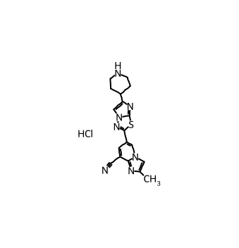 Cc1cn2cc(-c3nn4cc(C5CCNCC5)nc4s3)cc(C#N)c2n1.Cl